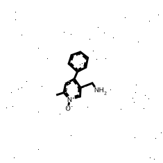 Cc1cc(-c2ccccc2)c(CN)c[n+]1[O-]